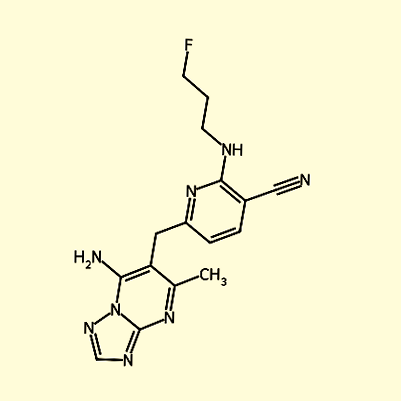 Cc1nc2ncnn2c(N)c1Cc1ccc(C#N)c(NCCCF)n1